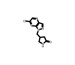 O=C1CC(Cn2ncc3ncc(Cl)nc32)CN1